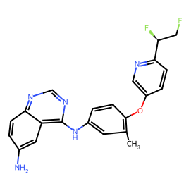 Cc1cc(Nc2ncnc3ccc(N)cc23)ccc1Oc1ccc([C@@H](F)CF)nc1